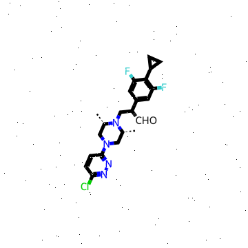 C[C@@H]1CN(c2ccc(Cl)nn2)C[C@H](C)N1CC(C=O)c1cc(F)c(C2CC2)c(F)c1